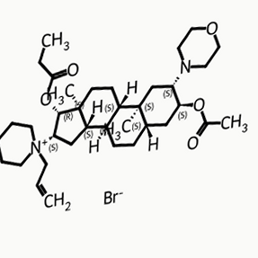 C=CC[N+]1([C@H]2C[C@H]3[C@@H]4CC[C@H]5C[C@H](OC(C)=O)[C@@H](N6CCOCC6)C[C@]5(C)[C@H]4CC[C@]3(C)[C@H]2OC(=O)CC)CCCCC1.[Br-]